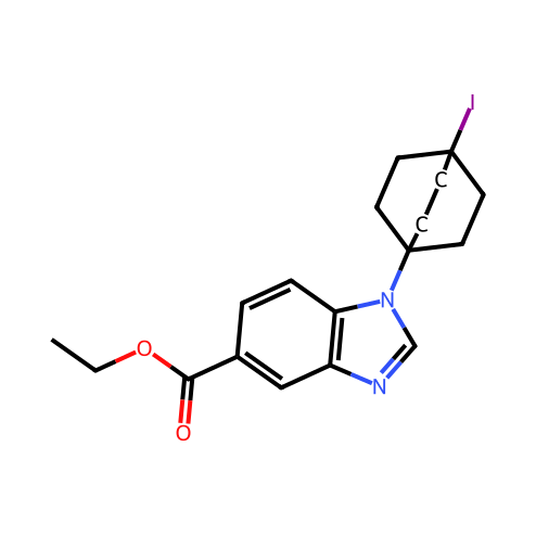 CCOC(=O)c1ccc2c(c1)ncn2C12CCC(I)(CC1)CC2